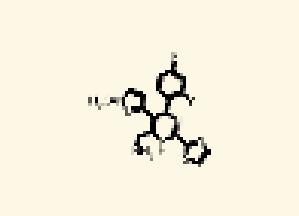 Cn1ccc(C2=C(CN)NC(c3nccs3)=NC2c2ccc(F)cc2Cl)n1